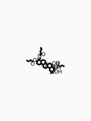 C=CCC(=O)OC[C@]1(C)C2CC[C@]3(C)C(CC=C4C5CC(C)(C)[C@@H](O)[C@H](O)[C@]5(COC(=O)/C=C/C)[C@H](O)C[C@]43C)[C@@]2(C)CC[C@@H]1OC(=O)/C=C/C